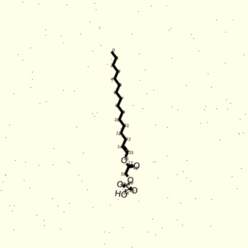 CCCCCCCCCCCCCCC=COC(=O)COS(=O)(=O)O